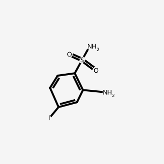 Nc1cc(I)ccc1S(N)(=O)=O